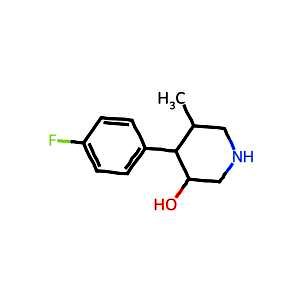 CC1CNCC(O)C1c1ccc(F)cc1